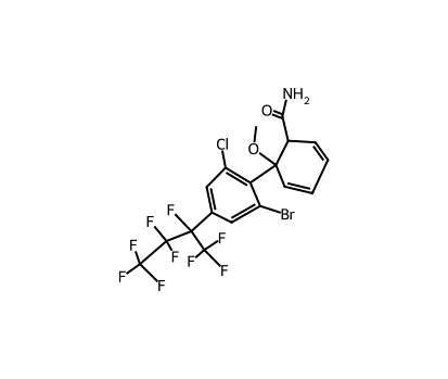 COC1(c2c(Cl)cc(C(F)(C(F)(F)F)C(F)(F)C(F)(F)F)cc2Br)C=CC=CC1C(N)=O